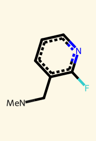 CNCc1cccnc1F